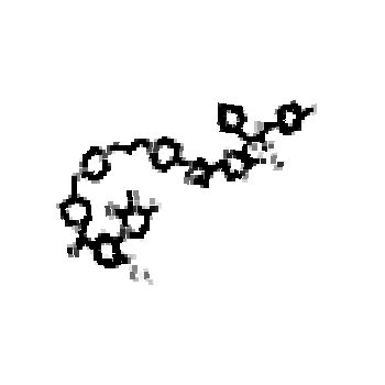 COc1ccc(C(=O)N2CCC(CN3CCN(CCCN4CCC(n5cc(-c6cnc(N)c([C@H](C(=O)Nc7ccc(F)cc7)c7ccccc7)n6)cn5)CC4)CC3)CC2)cc1N1CCC(=O)NC1=O